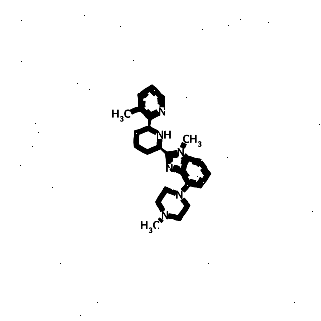 Cc1cccnc1[C@@H]1CCC[C@H](c2nc3c(N4CCN(C)CC4)cccc3n2C)N1